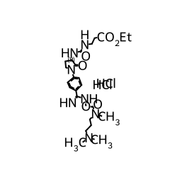 CCOC(=O)CCNC(=O)N[C@H]1CCN(c2ccc(C(=N)NOC(=O)N(C)CCCN(C)C)cc2)C1=O.Cl.Cl